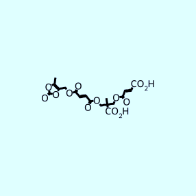 Cc1oc(=O)oc1COC(=O)/C=C/C(=O)OCC(C)(COC(=O)/C=C/C(=O)O)C(=O)O